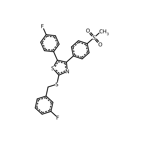 CS(=O)(=O)c1ccc(-c2nc(SCc3cccc(F)c3)sc2-c2ccc(F)cc2)cc1